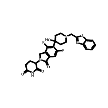 O=C1CCC(N2Cc3c(cc(F)c(C4(O)CCN(Cc5nc6ccccc6s5)CC4)c3F)C2=O)C(=O)N1